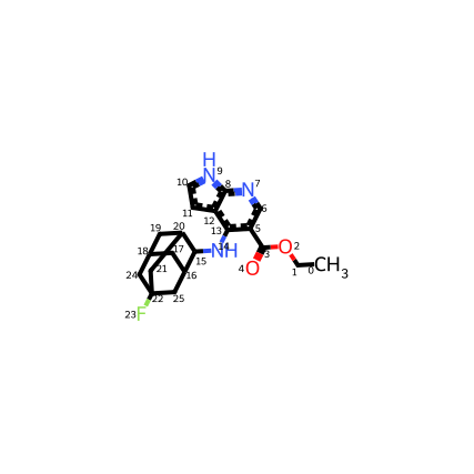 CCOC(=O)c1cnc2[nH]ccc2c1NC1C2CC3CC1CC(F)(C3)C2